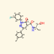 Cc1ccc(-c2cc(C(=O)N[C@H](C)CO)c(=O)n(-c3cccc(F)c3)n2)cc1